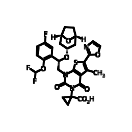 Cc1c(-c2ncco2)sc2c1c(=O)n(C1(C(=O)O)CC1)c(=O)n2C[C@H](O[C@H]1C[C@H]2CC[C@@H](C1)O2)c1cc(F)ccc1OC(F)F